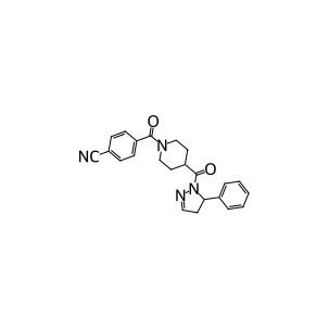 N#Cc1ccc(C(=O)N2CCC(C(=O)N3N=CCC3c3ccccc3)CC2)cc1